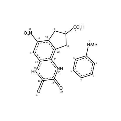 CNc1ccccc1.O=C(O)C1Cc2c([N+](=O)[O-])cc3[nH]c(=O)c(=O)[nH]c3c2C1